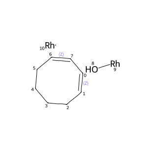 C1=C\CCCC\C=C/1.[OH][Rh].[Rh]